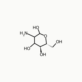 NC1C(O)O[C@H](CO)[C@@H](O)C1O